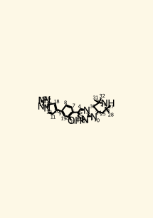 CN(c1ncc(-c2ccc(-c3ccn4nnnc4c3)cc2O)nn1)C1CC(C)(C)NC(C)(C)C1